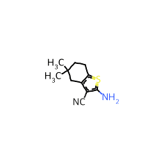 CC1(C)CCc2sc(N)c(C#N)c2C1